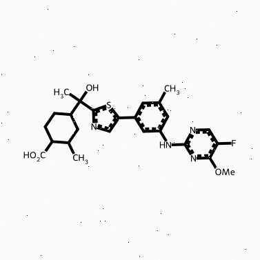 COc1nc(Nc2cc(C)cc(-c3cnc(C(C)(O)C4CCC(C(=O)O)C(C)C4)s3)c2)ncc1F